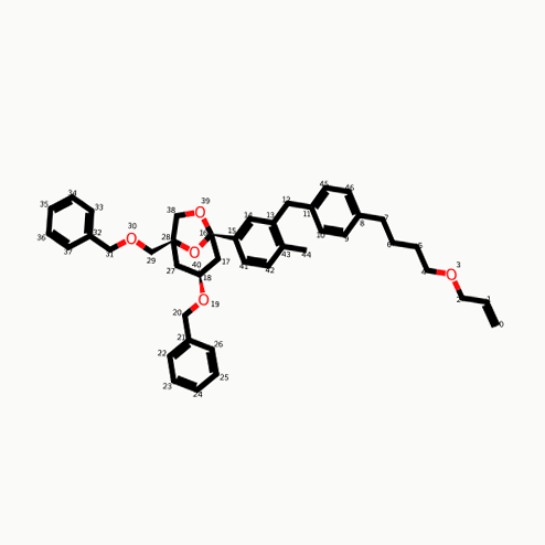 C=CCOCCCCc1ccc(Cc2cc([C@]34C[C@@H](OCc5ccccc5)C[C@](COCc5ccccc5)(CO3)O4)ccc2C)cc1